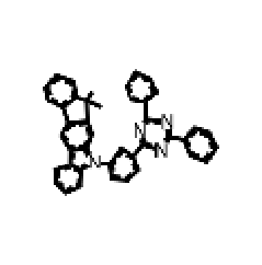 CC1(C)c2ccccc2-c2cc3c4ccccc4n(-c4cccc(-c5nc(-c6ccccc6)nc(-c6ccccc6)n5)c4)c3cc21